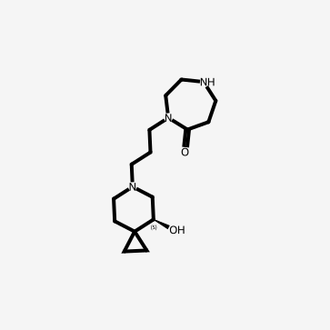 O=C1CCNCCN1CCCN1CCC2(CC2)[C@H](O)C1